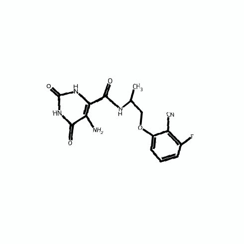 CC(COc1cccc(F)c1C#N)NC(=O)c1[nH]c(=O)[nH]c(=O)c1N